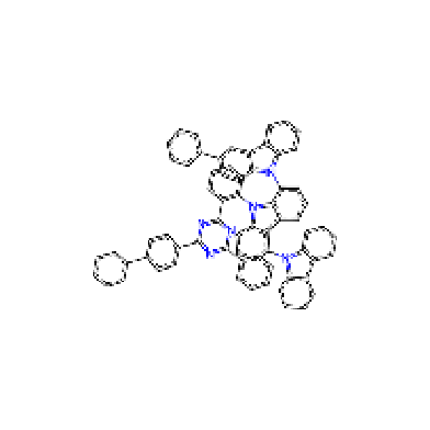 c1ccc(-c2ccc(-c3nc(-c4ccccc4)nc(-c4ccccc4-n4c5cccc(-n6c7ccccc7c7ccccc76)c5c5cccc(-n6c7ccccc7c7cc(-c8ccccc8)ccc76)c54)n3)cc2)cc1